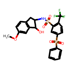 COc1ccc2c(c1)C(O)C(NS(=O)(=O)c1cc(S(=O)(=O)c3ccccc3)ccc1C(F)(F)F)C2